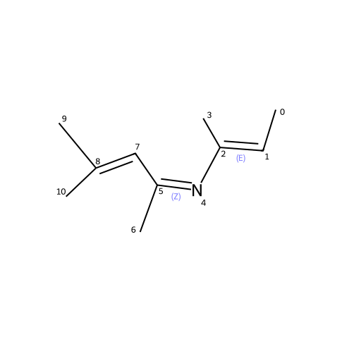 C/C=C(C)/N=C(/C)C=C(C)C